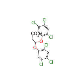 O=C(O)CC(Oc1cc(Cl)c(Cl)cc1Cl)Oc1cc(Cl)c(Cl)cc1Cl